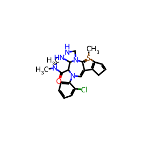 CN(C)C(=O)C1C2NNCN2C2=S(C)C3=C(CC=C3)C2=CN1c1ccccc1Cl